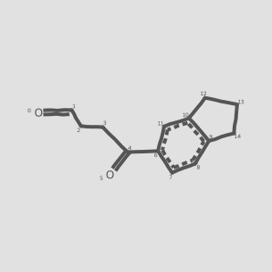 O=CCCC(=O)c1ccc2c(c1)CCC2